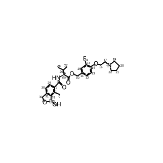 Cc1c(C(=O)N[C@H](C(=O)OCc2ccc(OCCN3CCCC3)c(F)c2)C(C)C)ccc2c1B(O)OC2